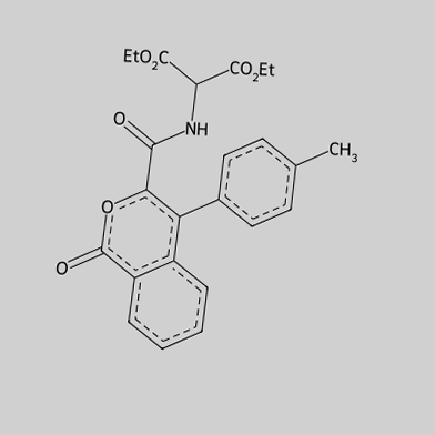 CCOC(=O)C(NC(=O)c1oc(=O)c2ccccc2c1-c1ccc(C)cc1)C(=O)OCC